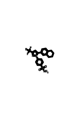 NS(=O)(=O)c1ccc(-n2nc(C(F)(F)F)cc2-c2ccc3c(c2)CCCC3)cc1